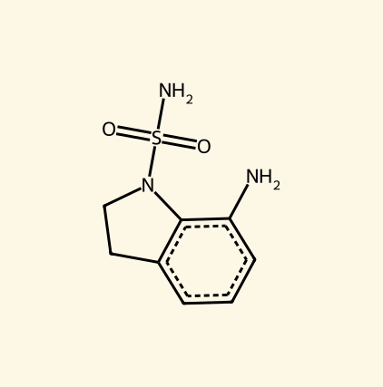 Nc1cccc2c1N(S(N)(=O)=O)CC2